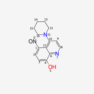 O=Nc1ccc(O)c2nccc(N3CCCCC3)c12